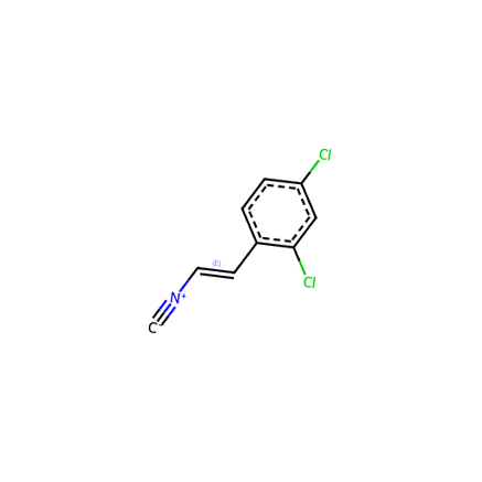 [C-]#[N+]/C=C/c1ccc(Cl)cc1Cl